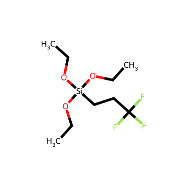 CCO[Si](CCC(F)(F)F)(OCC)OCC